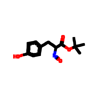 CC(C)(C)OC(=O)C(Cc1ccc(O)cc1)N=O